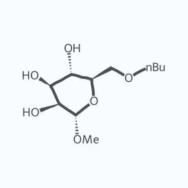 CCCCOC[C@H]1O[C@H](OC)[C@@H](O)[C@@H](O)[C@@H]1O